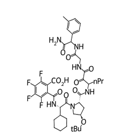 CCCC(NC(=O)[C@@H]1C[C@@H](OC(C)(C)C)CN1C(=O)[C@@H](NC(=O)c1c(F)c(F)c(F)c(F)c1C(=O)O)C1CCCCC1)C(=O)C(=O)NCC(=O)NC(C(N)=O)c1cccc(C)c1